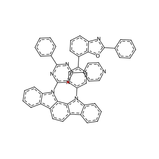 c1ccc(-c2nc(-c3ccncc3)nc(-n3c4ccccc4c4ccc5c6ccccc6n(-c6ccc(-c7cccc8nc(-c9ccccc9)oc78)cc6)c5c43)n2)cc1